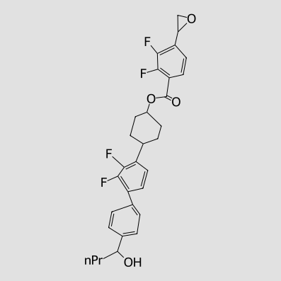 CCCC(O)c1ccc(-c2ccc(C3CCC(OC(=O)c4ccc(C5CO5)c(F)c4F)CC3)c(F)c2F)cc1